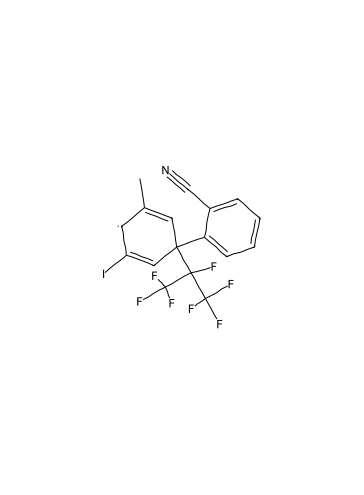 CC1=CC(c2ccccc2C#N)(C(F)(C(F)(F)F)C(F)(F)F)C=C(I)[CH]1